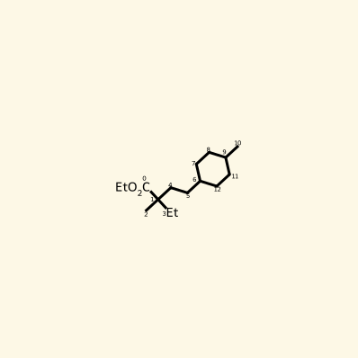 CCOC(=O)C(C)(CC)CCC1CCC(C)CC1